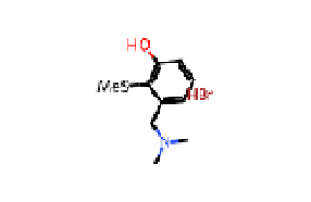 Br.CSc1c(O)cccc1CN(C)C